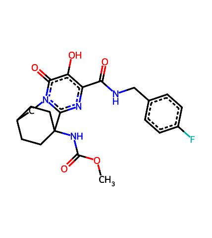 COC(=O)NC12CCC(CC1)Cn1c2nc(C(=O)NCc2ccc(F)cc2)c(O)c1=O